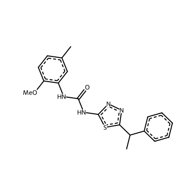 COc1ccc(C)cc1NC(=O)Nc1nnc(C(C)c2ccccc2)s1